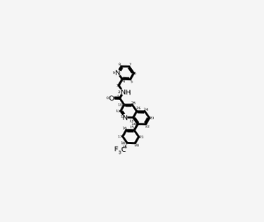 O=C(NCc1ccccn1)c1cnc2c(C3=CC[C@@H](C(F)(F)F)CC3)cccc2c1